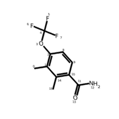 Cc1c(OC(F)(F)F)ccc(C(N)=O)c1C